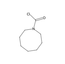 O=C(Cl)N1CCCCCCC1